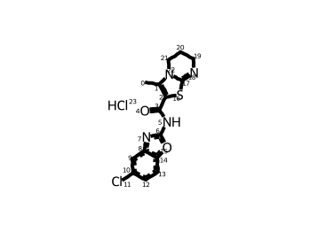 CC1=C(C(=O)Nc2nc3cc(Cl)ccc3o2)SC2=NCCCN21.Cl